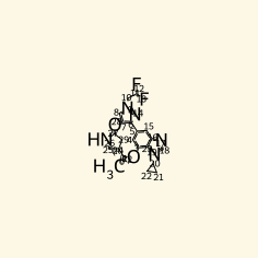 C[C@@H](Oc1cc(-c2ccn(CC(F)F)n2)cc2ncn(C3CC3)c12)[C@H]1CNC(=O)C1